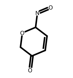 O=NC1C=CC(=O)CO1